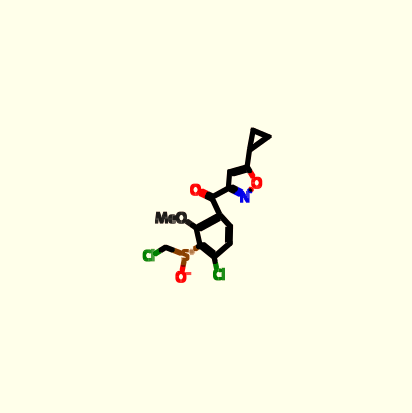 COc1c(C(=O)c2cc(C3CC3)on2)ccc(Cl)c1[S+]([O-])CCl